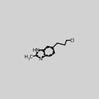 Cc1nc2ccc(CCCCl)cc2[nH]1